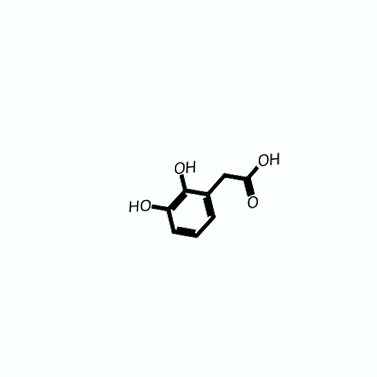 O=C(O)Cc1cccc(O)c1O